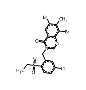 CCS(=O)(=O)c1ccc(Cl)cc1Cn1cnc2c(Br)c(C)c(Br)cc2c1=O